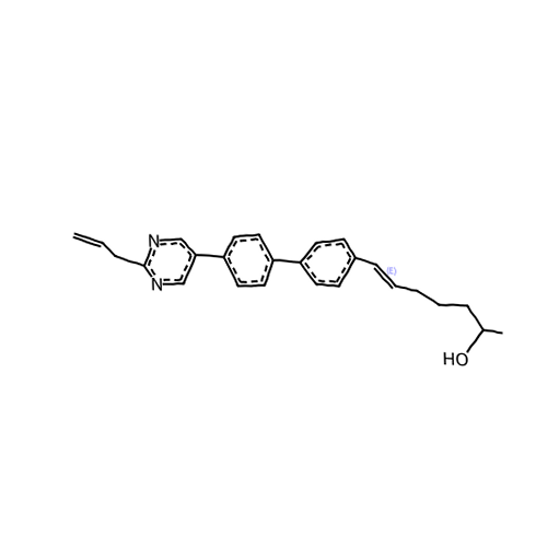 C=CCc1ncc(-c2ccc(-c3ccc(/C=C/CCCC(C)O)cc3)cc2)cn1